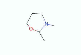 CC1OCCCN1C